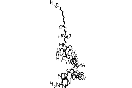 CCCCCCC=CC(=O)SCCNC(=O)CCNC(=O)[C@H](O)C(C)(C)COP(=O)(O)OP(=O)(O)OC[C@H]1O[C@@H](n2cnc3c(N)ncnc32)[C@H](O)[C@@H]1OP(=O)(O)O